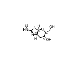 CCNC1=N[C@@H]2C[C@@H](O)[C@@H](CO)O[C@@H]2S1